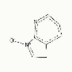 [O-][N+]1=CCc2cccnc21